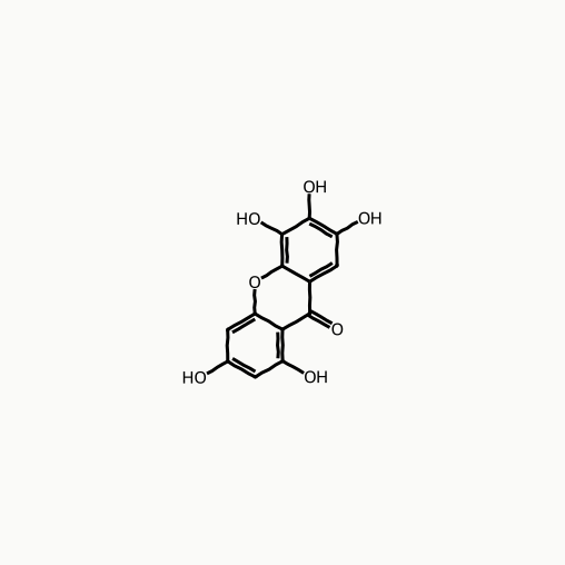 O=c1c2cc(O)c(O)c(O)c2oc2cc(O)cc(O)c12